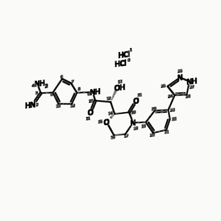 Cl.Cl.N=C(N)c1ccc(NC(=O)[C@H](O)[C@H]2OCCN(c3cccc(-c4cn[nH]c4)c3)C2=O)cc1